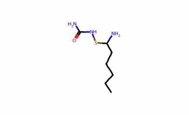 CCCCCC(N)SNC(N)=O